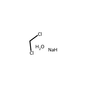 ClCCl.O.[NaH]